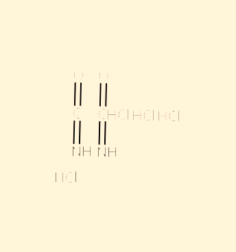 Cl.Cl.Cl.Cl.N=C=O.N=C=O